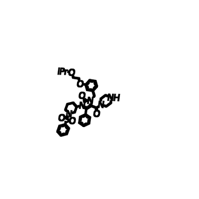 CC(C)OCCOc1cccc(Cn2c(C(=O)N3CCNCC3)c(-c3ccccc3)n(C3CCCN(S(=O)(=O)c4ccccc4)C3)c2=O)c1